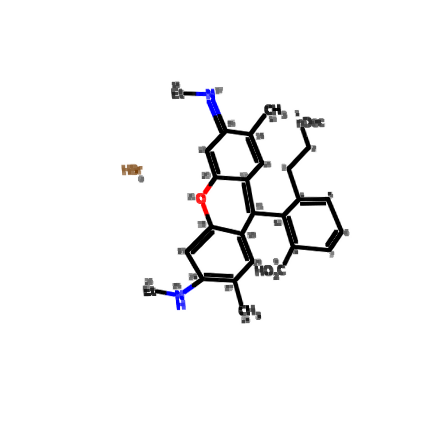 Br.CCCCCCCCCCCCc1cccc(C(=O)O)c1-c1c2cc(C)c(=NCC)cc-2oc2cc(NCC)c(C)cc12